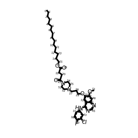 CCCCCCCCCCCCCCCCOC(=O)CCC(=O)N1CCN(CCCOc2cc3c(Nc4ccc(F)c(Cl)c4)ncnc3cc2OC)CC1